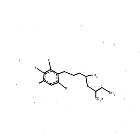 CC(CCCc1c(F)cc(F)c(F)c1F)CC(CN)C(=O)O